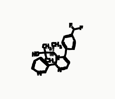 C[C@H](N1C(c2ccc(C(F)F)cc2)=CC=NC1c1cccnc1)C(C)(C)O